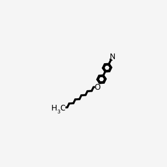 CCCCCCCCCCCOc1ccc(-c2ccc(C#N)cc2)cc1